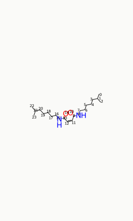 CC(C)CCCCCNC(=O)/C=C\C(=O)NCCCCCC(C)C